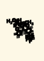 CNC(=S)NCC1=C(N2CCCC2=O)c2cc(C(F)(F)C(F)(F)F)ccc2OC1(C)C